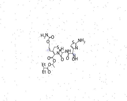 CCC(CC)C(=O)OC(C)OC(=O)C1=C(/C=C\COC(N)=O)CS[C@@H]2C(NC(=O)/C(=N\O)c3csc(N)n3)C(=O)N12